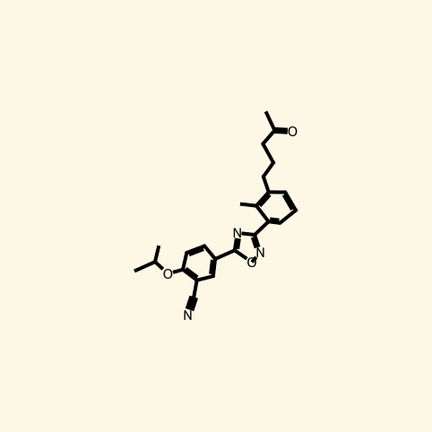 CC(=O)CCCc1cccc(-c2noc(-c3ccc(OC(C)C)c(C#N)c3)n2)c1C